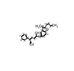 C#C/C(=C\C=C(/C)Nc1ccc2oc(/C=C\C=C)c(C)c2c1)c1ccccc1